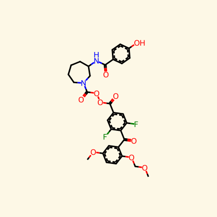 COCOc1ccc(OC)cc1C(=O)c1c(F)cc(C(=O)OOC(=O)N2CCCCC(NC(=O)c3ccc(O)cc3)C2)cc1F